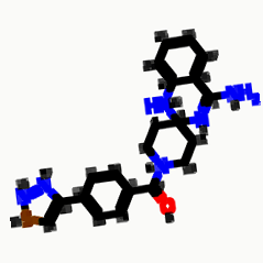 NC1=NC2(CCN(C(=O)c3ccc(-c4csnn4)cc3)CC2)Nc2ccccc21